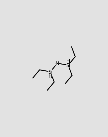 CC[SiH](CC)[N][SiH](CC)CC